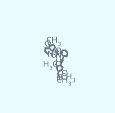 COCc1cc(C)c(C#Cc2ccccc2NS(=O)(=O)c2ccc(OC)c3cccnc23)cc1OC